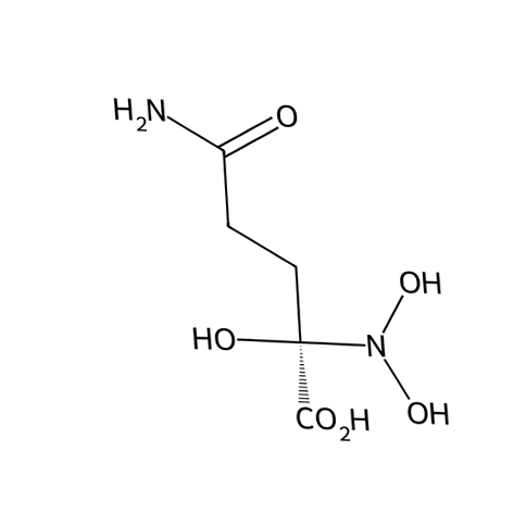 NC(=O)CC[C@@](O)(C(=O)O)N(O)O